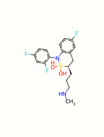 CNCCC[C@@H]1Cc2cc(F)ccc2N(c2ccc(F)cc2F)S1(O)O